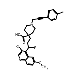 COc1ccc2ncc(Cl)c(C(F)CCC3(C(=O)O)CCN(CC#Cc4ccc(F)cc4)CC3)c2c1